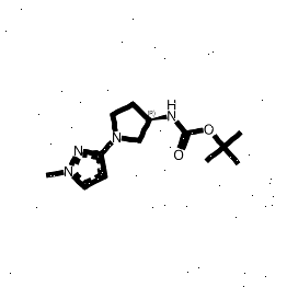 Cn1ccc(N2CC[C@@H](NC(=O)OC(C)(C)C)C2)n1